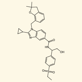 CCS(=O)(=O)c1ccc(C(CO)NC(=O)c2ccc3c(c2)nc(C2CC2)n3Cc2cccc3c2OC(C)(C)C3)cc1